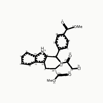 COC(=O)c1ccc(C2c3[nH]c4ccccc4c3C[C@@H](C(=O)OC)N2C(=O)CCl)cc1